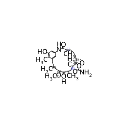 CO[C@H]1C[C@H](C)Cc2cc(cc(O)c2C)NC(=O)/C(C)=C/CC[C@H](C=O)[C@@H](OC(N)=O)/C(C)=C/[C@H](C)[C@H]1O